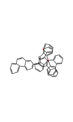 c1ccc(-c2nc(-c3ccc4c(ccc5ccccc54)c3)cc(-c3ccccc3-c3ccccc3C3(c4ccccc4)c4ccccc4Oc4ccccc43)n2)cc1